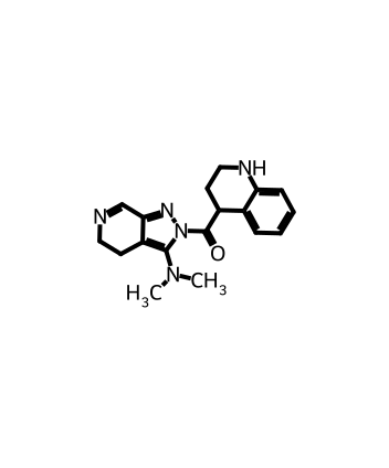 CN(C)c1c2c(nn1C(=O)C1CCNc3ccccc31)C=NCC2